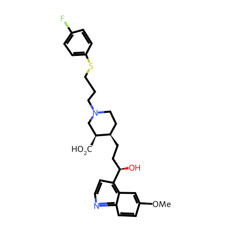 COc1ccc2nccc([C@H](O)CC[C@@H]3CCN(CCCSc4ccc(F)cc4)C[C@@H]3C(=O)O)c2c1